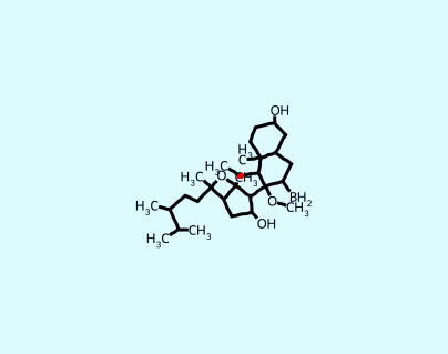 BC1CC2CC(O)CCC2(C)C(CC)C1(OC)C1C(O)CC2C(C)(CCC(C)C(C)C)OC21C